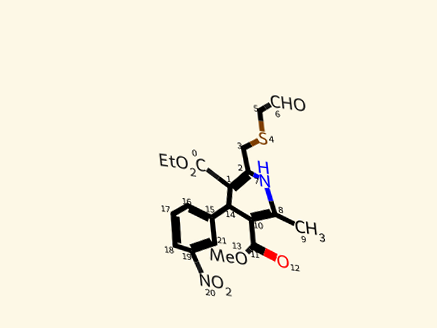 CCOC(=O)C1=C(CSCC=O)NC(C)=C(C(=O)OC)C1c1cccc([N+](=O)[O-])c1